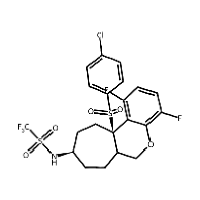 O=S(=O)(N[C@@H]1CCC2COc3c(F)ccc(F)c3[C@@]2(S(=O)(=O)c2ccc(Cl)cc2)CC1)C(F)(F)F